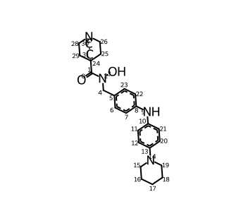 O=C(N(O)Cc1ccc(Nc2ccc(N3CCCCC3)cc2)cc1)C12CCN(CC1)CC2